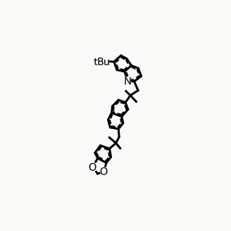 CC(C)(C)c1ccc2ccc(CC(C)(C)c3ccc4ccc(CC(C)(C)c5ccc6c(c5)OCO6)cc4c3)nc2c1